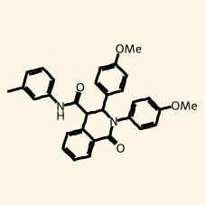 COc1ccc(C2C(C(=O)Nc3cccc(C)c3)c3ccccc3C(=O)N2c2ccc(OC)cc2)cc1